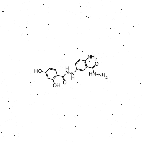 NNC(=O)c1cc(NNC(=O)c2ccc(O)cc2O)ccc1N